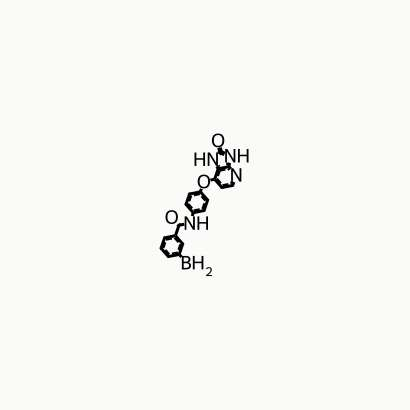 Bc1cccc(C(=O)Nc2ccc(Oc3ccnc4[nH]c(=O)[nH]c34)cc2)c1